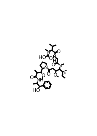 CC[C@H](C)C(C(CC(=O)N1CCCC1C(OC)C(C)C(=O)NC(C)C(O)c1ccccc1)OC)N(C)C(=O)CNC(=O)C(C(C)C)N(C)C(=O)O